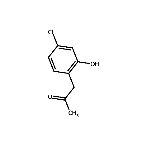 CC(=O)Cc1ccc(Cl)cc1O